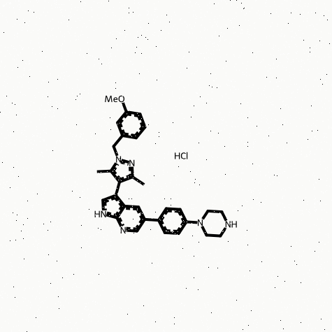 COc1cccc(Cn2nc(C)c(-c3c[nH]c4ncc(-c5ccc(N6CCNCC6)cc5)cc34)c2C)c1.Cl